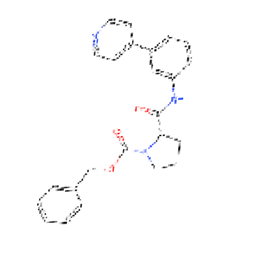 O=C(Nc1cccc(-c2ccncc2)c1)[C@@H]1CCCN1C(=O)OCc1ccccc1